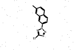 CCc1nnn(-c2ccc3ccc(C)cc3c2)n1